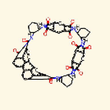 O=C1c2ccc3c4ccc5c6c7ccc(c8ccc(c2c38)C(=O)N1[C@H]1CCCC[C@@H]1n1c(=O)c2cc3c(=O)n(c(=O)c3cc2c1=O)[C@H]1CCCC[C@@H]1n1c(=O)c2cc3c(=O)n(c(=O)c3cc2c1=O)[C@H]1CCCC[C@@H]1N(C5=O)C7=O)c64